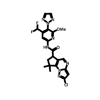 COc1nc(NC(=O)C2CC(C)(C)c3c2cnc2cc(Cl)nn32)cc(C(F)F)c1-n1nccn1